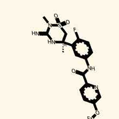 CCOc1ccc(C(=O)Nc2ccc(F)c([C@]3(C)CS(=O)(=O)N(C)C(=N)N3)c2)nc1